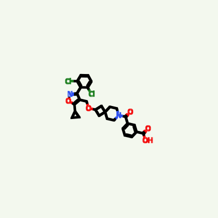 O=C(O)c1cccc(C(=O)N2CCC3(CC2)CC(OCc2c(-c4c(Cl)cccc4Cl)noc2C2CC2)C3)c1